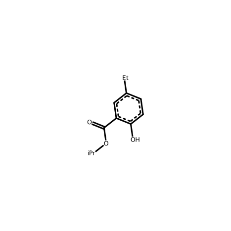 CCc1ccc(O)c(C(=O)OC(C)C)c1